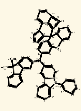 CC1(C)c2ccccc2-c2cc(N(c3ccc4c(c3)Sc3ccccc3C43c4ccccc4-c4cccc5cccc3c45)c3ccc4c(c3)c3ccccc3n4-c3ccccc3)ccc21